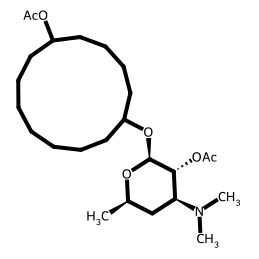 CC(=O)OC1CCCCCCCC(O[C@@H]2O[C@H](C)C[C@H](N(C)C)[C@H]2OC(C)=O)CCCC1